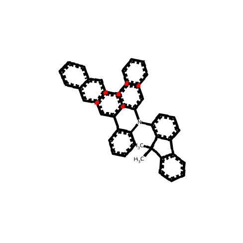 CC1(C)c2ccccc2-c2cccc(N(c3cccc(-c4ccc5ccccc5c4)c3)c3ccccc3-c3cccc(-c4ccccc4)c3)c21